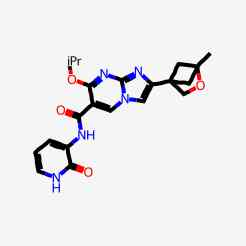 CC(C)Oc1nc2nc(C34COC(C)(C3)C4)cn2cc1C(=O)Nc1ccc[nH]c1=O